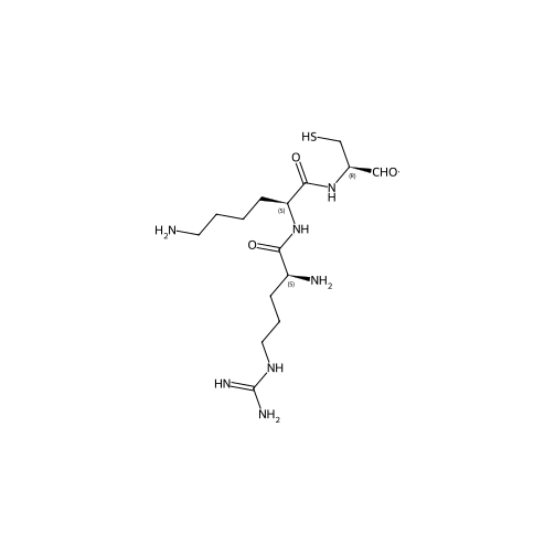 N=C(N)NCCC[C@H](N)C(=O)N[C@@H](CCCCN)C(=O)N[C@H]([C]=O)CS